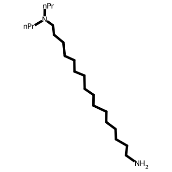 CCCN(CCC)CCCCCCCCCCCCCCCCN